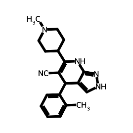 Cc1ccccc1C1C(C#N)=C(C2CCN(C)CC2)Nc2n[nH]cc21